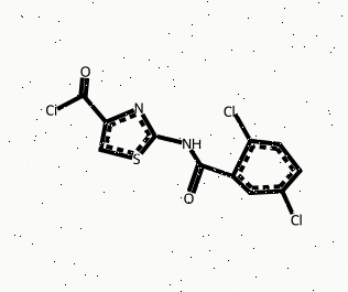 O=C(Cl)c1csc(NC(=O)c2cc(Cl)ccc2Cl)n1